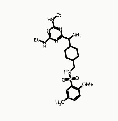 CCNc1nc(NCC)nc(C(N)C2CCC(CNS(=O)(=O)c3cc(C)ccc3OC)CC2)n1